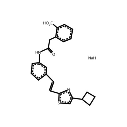 O=C(Cc1ccccc1C(=O)O)Nc1cccc(/C=C/c2nc(C3CCC3)cs2)c1.[NaH]